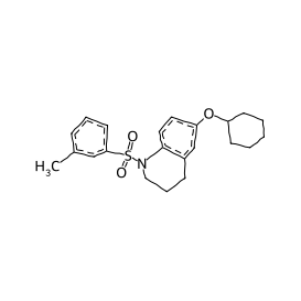 Cc1cccc(S(=O)(=O)N2CCCc3cc(OC4CCCCC4)ccc32)c1